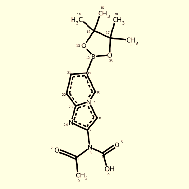 CC(=O)N(C(=O)O)c1cn2cc(B3OC(C)(C)C(C)(C)O3)ccc2n1